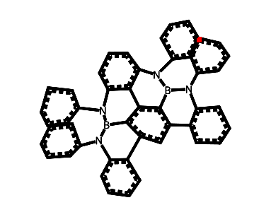 c1ccc(N2B3c4c(cc5c6c4-c4c(cccc4N(c4ccccc4)B6N(c4ccccc4)c4ccccc4-5)N3c3ccccc3)-c3ccccc32)cc1